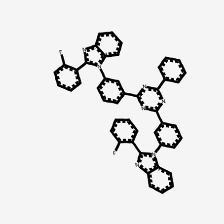 Fc1ccccc1-c1nc2ccccc2n1-c1cccc(-c2nc(-c3ccccc3)nc(-c3cccc(-n4c(-c5ccccc5F)nc5ccccc54)c3)n2)c1